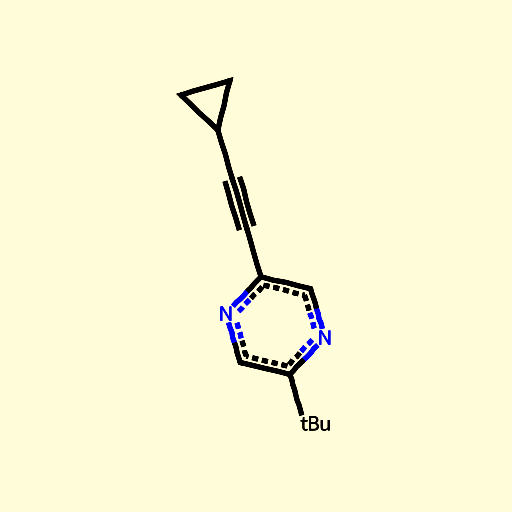 CC(C)(C)c1cnc(C#CC2CC2)cn1